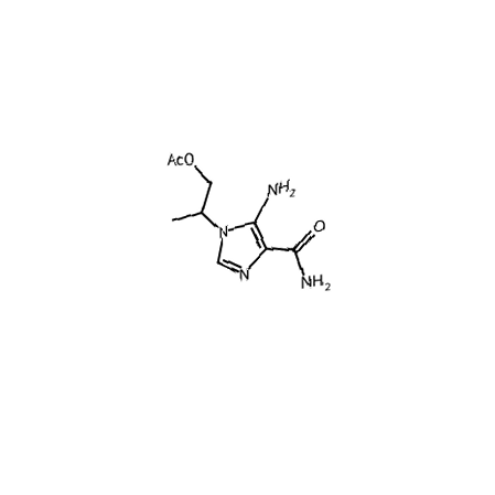 CC(=O)OCC(C)n1cnc(C(N)=O)c1N